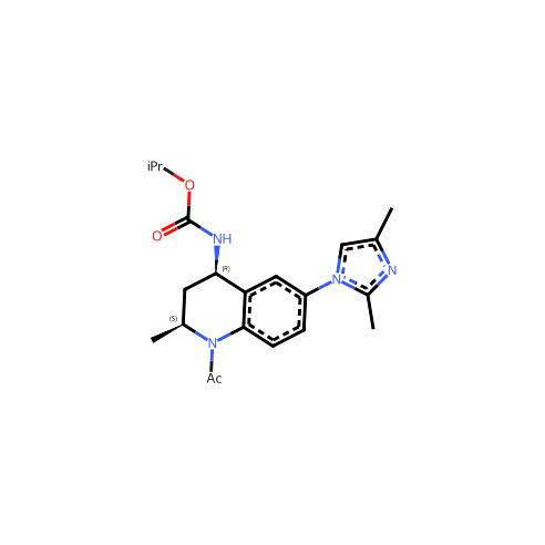 CC(=O)N1c2ccc(-n3cc(C)nc3C)cc2[C@H](NC(=O)OC(C)C)C[C@@H]1C